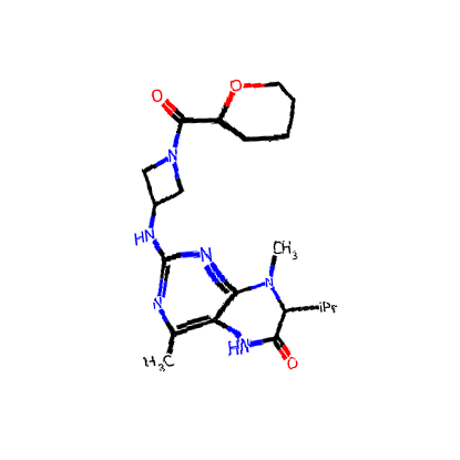 Cc1nc(NC2CN(C(=O)C3CCCCO3)C2)nc2c1NC(=O)C(C(C)C)N2C